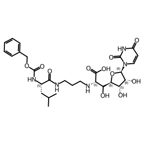 CC(C)C[C@H](NC(=O)OCc1ccccc1)C(=O)NCCCN[C@H](C(=O)O)C(O)[C@H]1O[C@@H](n2ccc(=O)[nH]c2=O)[C@H](O)[C@@H]1O